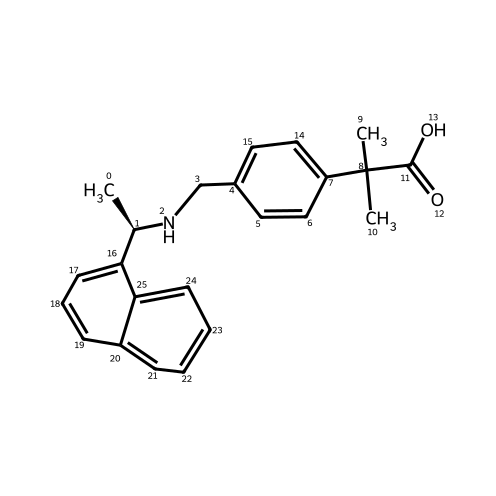 C[C@@H](NCc1ccc(C(C)(C)C(=O)O)cc1)c1cccc2ccccc12